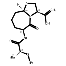 C=C(O)[C@@H]1CS[C@@H]2CCC[C@H](NC(=O)[C@@H](SC(C)C)[C@@H](C)CC)C(=O)N21